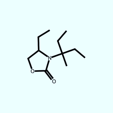 CCC1COC(=O)N1C(C)(CC)CC